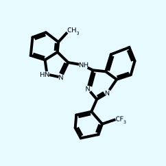 Cc1cccc2[nH]nc(Nc3nc(-c4ccccc4C(F)(F)F)nc4ccccc34)c12